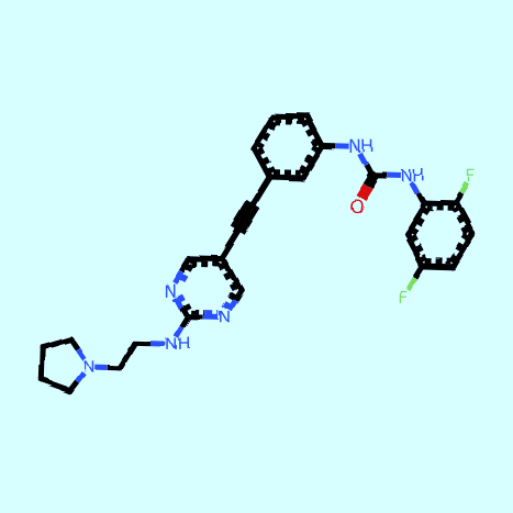 O=C(Nc1cccc(C#Cc2cnc(NCCN3CCCC3)nc2)c1)Nc1cc(F)ccc1F